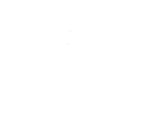 C=CC(=O)Nc1csnn1